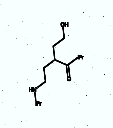 CC(C)NCCC(CCO)C(=O)C(C)C